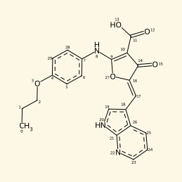 CCCOc1ccc(NC2=C(C(=O)O)C(=O)C(=Cc3c[nH]c4ncccc34)O2)cc1